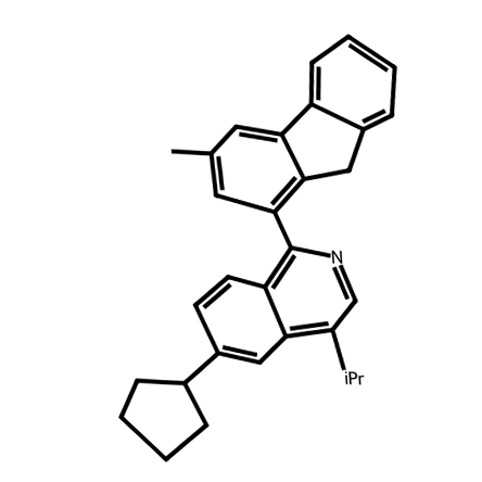 Cc1cc2c(c(-c3ncc(C(C)C)c4cc(C5CCCC5)ccc34)c1)Cc1ccccc1-2